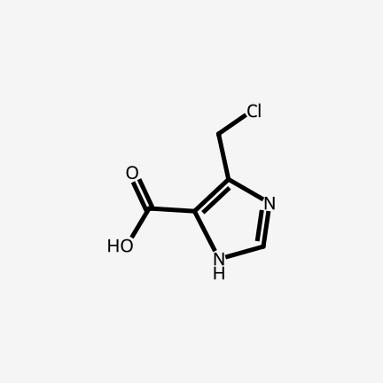 O=C(O)c1[nH]cnc1CCl